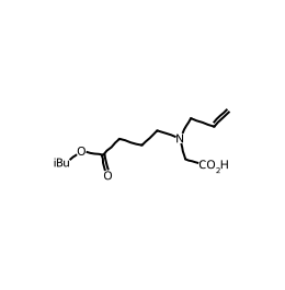 C=CCN(CCCC(=O)OC(C)CC)CC(=O)O